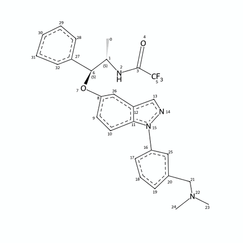 C[C@H](NC(=O)C(F)(F)F)[C@@H](Oc1ccc2c(cnn2-c2cccc(CN(C)C)c2)c1)c1ccccc1